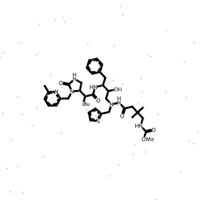 CCC(C)C(C(=O)NC(Cc1ccccc1)C(O)CN(Cc1cccs1)NC(=O)CC(C)(C)CNC(=O)OC)C1CNC(=O)N1Cc1cccc(C)n1